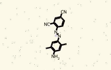 Cc1cc(/N=N/c2ccc(C#N)cc2C#N)c(C)cc1N